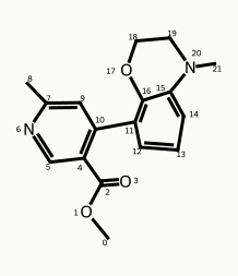 COC(=O)c1cnc(C)cc1-c1cccc2c1OCCN2C